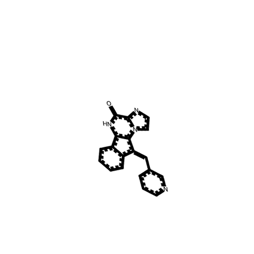 O=c1[nH]c2c3ccccc3c(=Cc3cccnc3)c2n2ccnc12